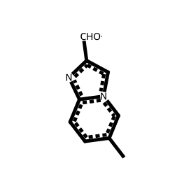 Cc1ccc2nc([C]=O)cn2c1